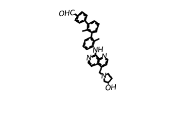 Cc1c(Nc2nccc3c(CN4CC[C@H](O)C4)ccnc23)cccc1-c1cccc(-c2ccc(C=O)cc2)c1C